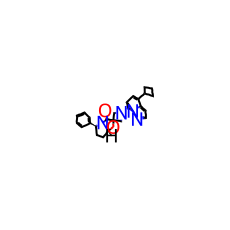 O=C1N2[C@@H](CC[C@H]2c2ccccc2)OC12CN(c1ccc(C3CCC3)c3ccnn13)C2